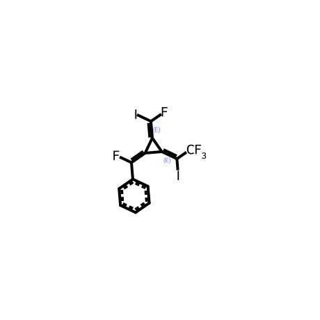 FC(=C1C(=C(/F)I)/C1=C(/I)C(F)(F)F)c1ccccc1